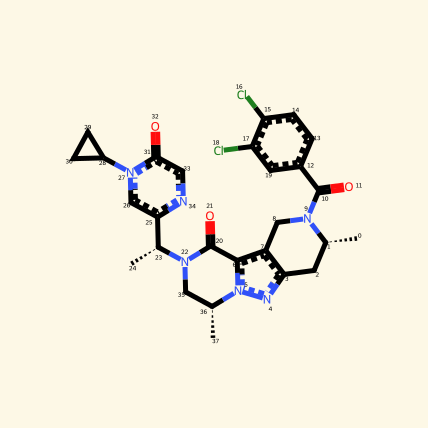 C[C@@H]1Cc2nn3c(c2CN1C(=O)c1ccc(Cl)c(Cl)c1)C(=O)N([C@H](C)c1cn(C2CC2)c(=O)cn1)C[C@H]3C